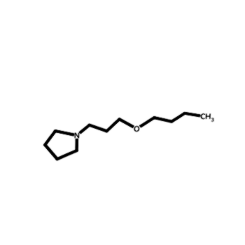 CCCCOCCCN1CCCC1